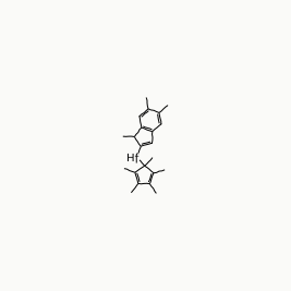 CC1=C(C)[C](C)([Hf][C]2=Cc3cc(C)c(C)cc3C2C)C(C)=C1C